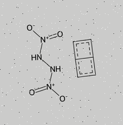 O=[N+]([O-])NN[N+](=O)[O-].c1cc2ccc1-2